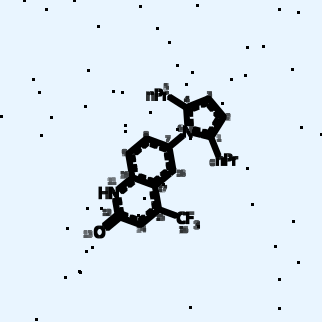 CCCc1ccc(CCC)n1-c1ccc2[nH]c(=O)cc(C(F)(F)F)c2c1